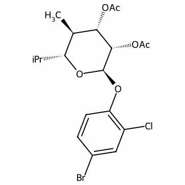 CC(=O)O[C@@H]1[C@@H](Oc2ccc(Br)cc2Cl)O[C@H](C(C)C)[C@@H](C)[C@@H]1OC(C)=O